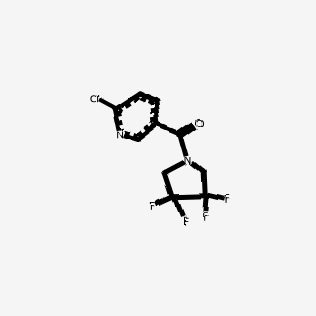 O=C(c1ccc(Cl)nc1)N1CC(F)(F)C(F)(F)C1